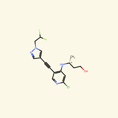 C[C@H](CCO)Nc1cc(Cl)ncc1C#Cc1cnn(CC(F)F)c1